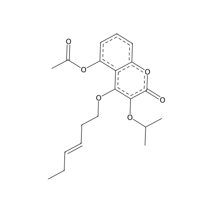 CC/C=C/CCOc1c(OC(C)C)c(=O)oc2cccc(OC(C)=O)c12